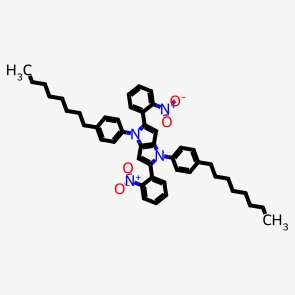 CCCCCCCCc1ccc(-n2c(-c3ccccc3[N+](=O)[O-])cc3c2cc(-c2ccccc2[N+](=O)[O-])n3-c2ccc(CCCCCCCC)cc2)cc1